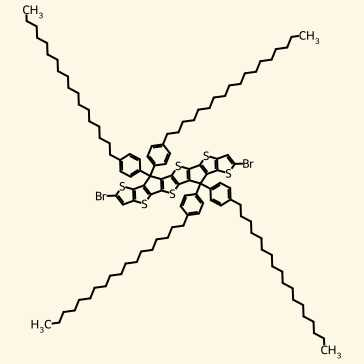 CCCCCCCCCCCCCCCCCCc1ccc(C2(c3ccc(CCCCCCCCCCCCCCCCCC)cc3)c3c(sc4cc(Br)sc34)-c3sc4c5c(sc4c32)-c2sc3cc(Br)sc3c2C5(c2ccc(CCCCCCCCCCCCCCCCCC)cc2)c2ccc(CCCCCCCCCCCCCCCCCC)cc2)cc1